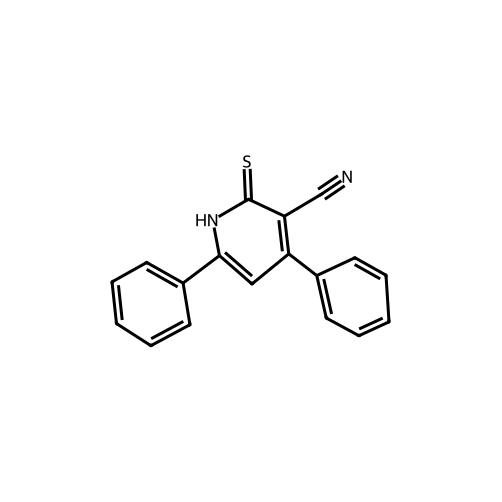 N#Cc1c(-c2ccccc2)cc(-c2ccccc2)[nH]c1=S